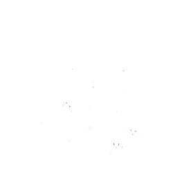 C=COC(=O)C(NC(=O)O)(C(=O)OC)C(=O)OC